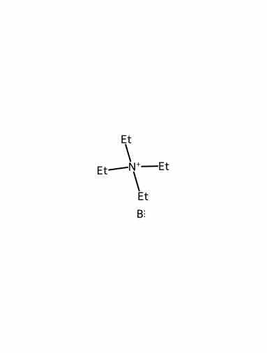 CC[N+](CC)(CC)CC.[B]